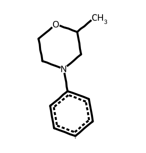 CC1CN(c2cc[c]cc2)CCO1